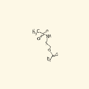 CCC(=O)OCSNS(C)(=O)=O